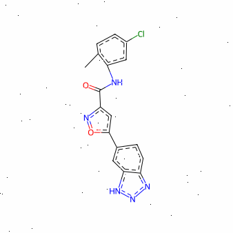 Cc1ccc(Cl)cc1NC(=O)c1cc(-c2ccc3nn[nH]c3c2)on1